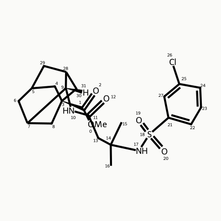 COC(=O)[C@]12CC3CC(C1)[C@@H](NC(=O)CC(C)(C)NS(=O)(=O)c1cccc(Cl)c1)C(C3)C2